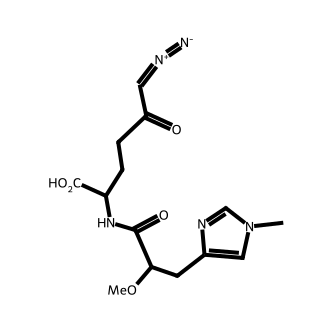 COC(Cc1cn(C)cn1)C(=O)NC(CCC(=O)C=[N+]=[N-])C(=O)O